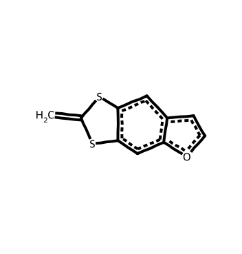 C=C1Sc2cc3ccoc3cc2S1